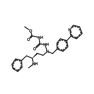 CN[C@H](CCN(Cc1ccc(-c2ccccn2)cc1)NC(=O)NC(=O)OC)Cc1ccccc1